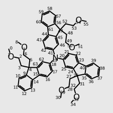 COCCC1(CCOC)c2ccccc2-c2ccc(N(c3ccc4c(c3)C(CCOC)(CCOC)c3ccccc3-4)c3ccc4c(c3)C(CCOC)(CCOC)c3ccccc3-4)cc21